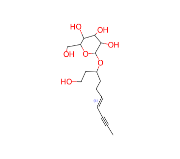 CC#C/C=C/CCC(CCO)OC1OC(CO)C(O)C(O)C1O